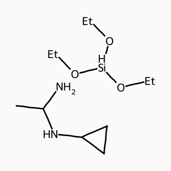 CC(N)NC1CC1.CCO[SiH](OCC)OCC